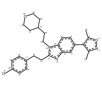 Cc1noc(C)c1-c1ccc2c(c1)nc(CCc1ccc(Cl)cc1)n2CCC1CCOCC1